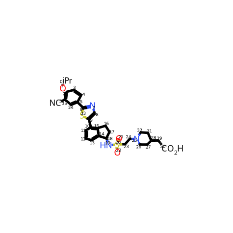 CC(C)Oc1ccc(-c2ncc(-c3cccc4c3CCC4NS(=O)(=O)CCN3CCC(CC(=O)O)CC3)s2)cc1C#N